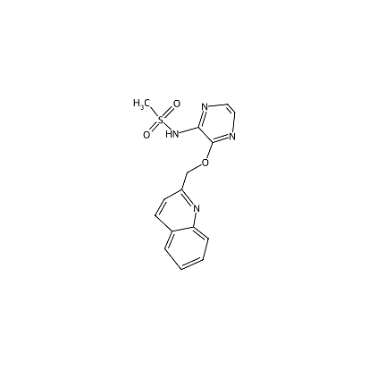 CS(=O)(=O)Nc1nccnc1OCc1ccc2ccccc2n1